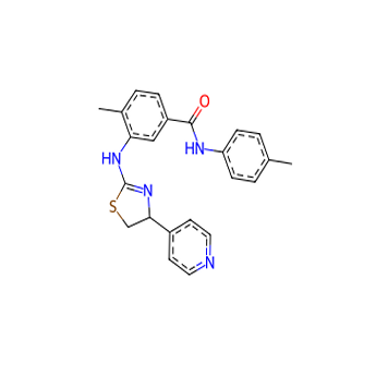 Cc1ccc(NC(=O)c2ccc(C)c(NC3=NC(c4ccncc4)CS3)c2)cc1